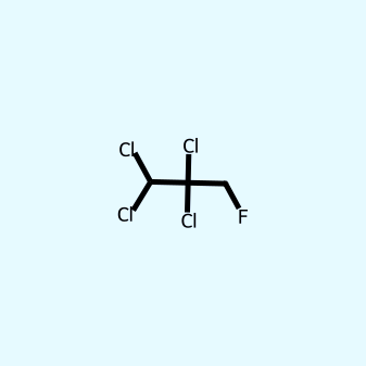 FCC(Cl)(Cl)C(Cl)Cl